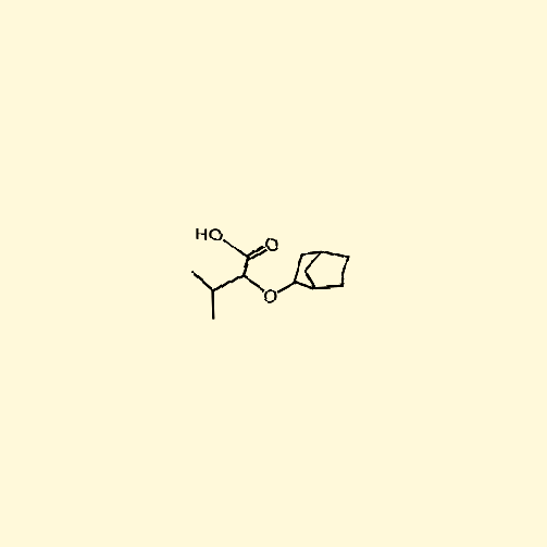 CC(C)C(OC1CC2CCC1C2)C(=O)O